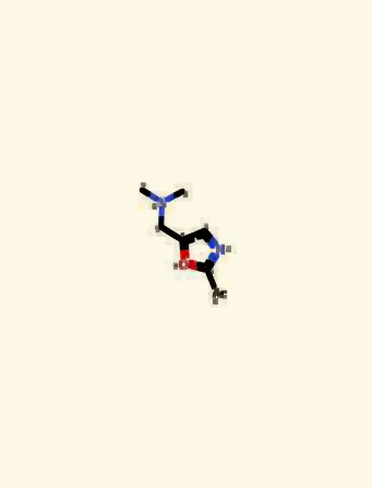 CC(=O)c1ncc(CN(C)C)o1